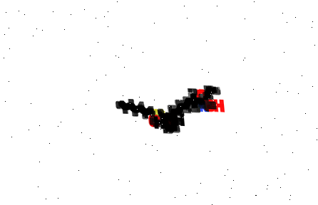 CCCCCCC[S+]([O-])C[C@H]1[C@@H](CCCCCC(C)(C)C(=NO)OCCC)[C@H]2CC[C@@H]1O2